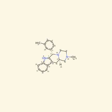 Cc1cccc([C@H]2c3[nH]c4ccccc4c3C[C@@H]3CN(C)CCN32)c1